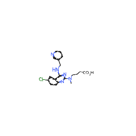 CN(CCCC(=O)O)c1nc(NCc2cccnc2)c2cc(Cl)ccc2n1